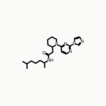 CC(C)CCCC(C)NC(=O)CC1CCCCN1c1ccnc(-n2ccnc2)n1